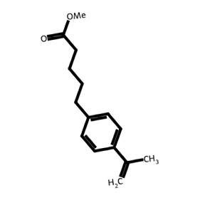 C=C(C)c1ccc(CCCCC(=O)OC)cc1